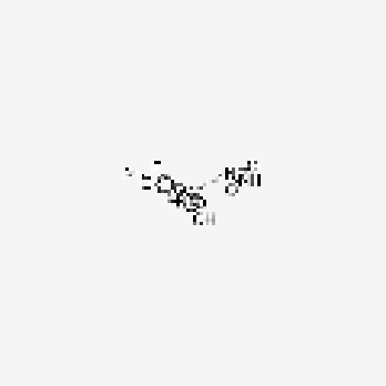 C[C@H](c1ccc(F)c(OCC2CC2)c1)N(CC(=O)O)S(=O)(=O)CCCCCN1CC(=O)NC1=O